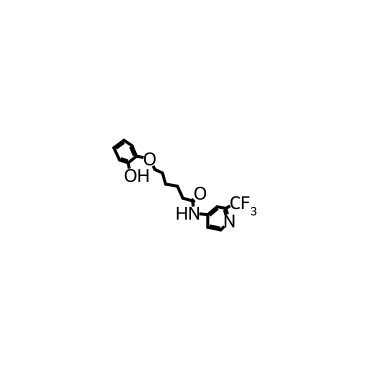 O=C(CCCCCOc1ccccc1O)Nc1ccnc(C(F)(F)F)c1